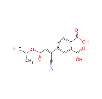 CC(C)OC(=O)C=C(C#N)c1ccc(C(=O)O)c(C(=O)O)c1